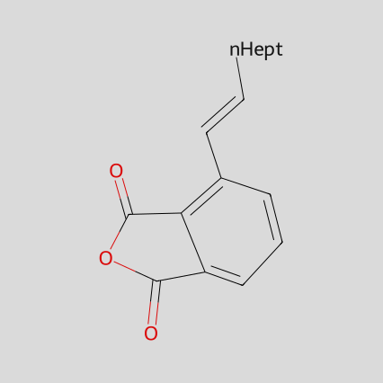 CCCCCCCC=Cc1cccc2c1C(=O)OC2=O